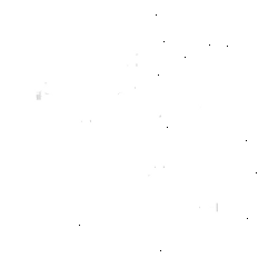 Cc1ccc(C(=O)OC(C)C)o1